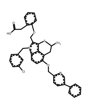 CC1Cc2c(OCc3ccc(-c4ccccc4)cn3)ccc3c2c(c(COc2ccccc2CC(=O)O)n3Cc2cccc(Cl)c2)S1